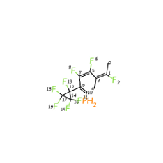 C\C(F)=C(C)/C(F)=C(F)\C(=C\P)C1(F)C(F)(F)C1(F)F